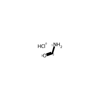 Cl.NC=O